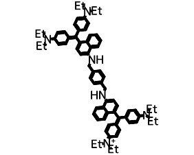 CCN(CC)c1ccc(C(=C2C=CC(=[N+](CC)CC)C=C2)c2ccc(NCc3ccc(CNc4ccc(C(=C5C=CC(N(CC)CC)C=C5)c5ccc(N(CC)CC)cc5)c5ccccc45)cc3)c3ccccc23)cc1